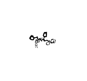 O=C(CC=C(NCC(O)Cc1ccccc1)c1ccccc1)N1CCOCC1